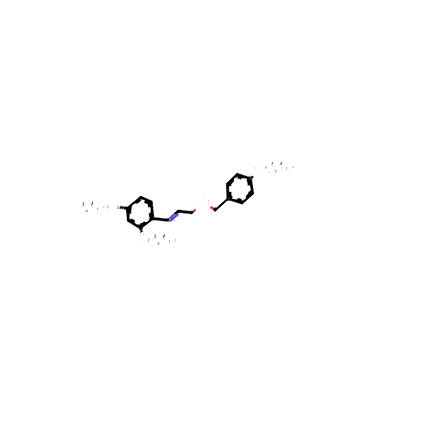 COc1ccc(COC/C=C/c2ccc(OC)cc2OC)cc1